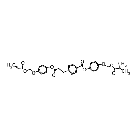 C=CC(=O)OCOc1ccc(OC(=O)CCc2ccc(C(=O)Oc3ccc(OCOC(=O)C(=C)C)cc3)cc2)cc1